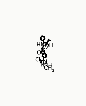 CNc1ncc(Cl)c(-c2ccc3c(c2)C(=O)N(CC(=O)NC(c2ccccc2)C(O)C2CC2)C3)n1